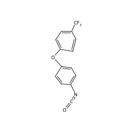 O=C=Nc1ccc(Oc2ccc(C(F)(F)F)cc2)cc1